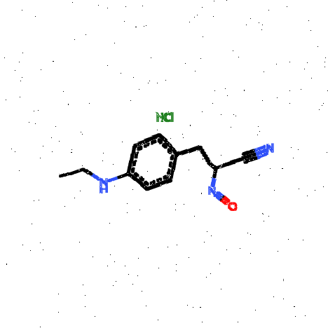 CCNc1ccc(CC(C#N)N=O)cc1.Cl